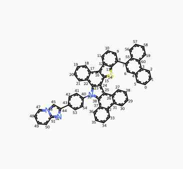 c1ccc2c(c1)cc(-c1cccc3c1sc1c3c3ccccc3c3c1c1c4ccccc4c4ccccc4c1n3-c1ccc(-c3cn4ccccc4n3)cc1)c1ccccc12